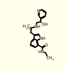 CCNC(=O)c1cccc2c(C[C@@H](C)NCC(O)c3cccnc3)c[nH]c12